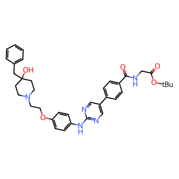 CC(C)(C)OC(=O)CNC(=O)c1ccc(-c2cnc(Nc3ccc(OCCN4CCC(O)(Cc5ccccc5)CC4)cc3)nc2)cc1